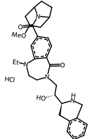 CCN1CCN(C[C@@H](O)[C@@H]2Cc3ccccc3CN2)C(=O)c2ccc(C(=O)N3C4CCC3CC(OC)C4)cc21.Cl